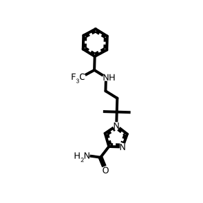 CC(C)(CCNC(c1ccccc1)C(F)(F)F)n1cnc(C(N)=O)c1